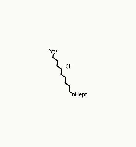 CCCCCCCCCCCCCCCC[O+](C)C.[Cl-]